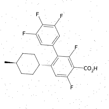 C[C@H]1CC[C@H](c2cc(F)c(C(=O)O)c(F)c2-c2cc(F)c(F)c(F)c2)CC1